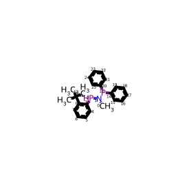 CN(Pc1ccccc1C(C)(C)C)P(c1ccccc1)c1ccccc1